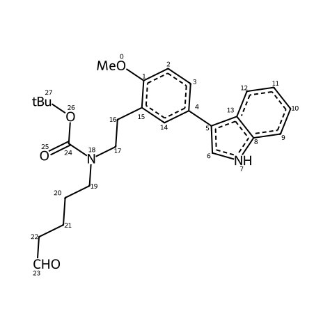 COc1ccc(-c2c[nH]c3ccccc23)cc1CCN(CCCCC=O)C(=O)OC(C)(C)C